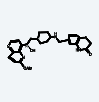 COc1ccc2nccc([C@@H](O)CN3CCC(NCc4ccc5c(c4)NC(=O)CS5)CC3)c2n1